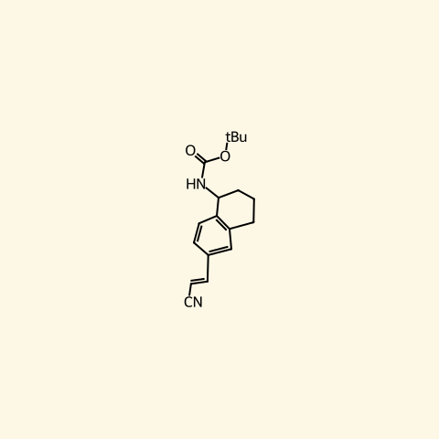 CC(C)(C)OC(=O)NC1CCCc2cc(C=CC#N)ccc21